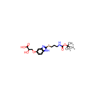 CC(C)(C)OC(=O)NCCCSc1nc2cc(OCC(O)C(=O)O)ccc2[nH]1